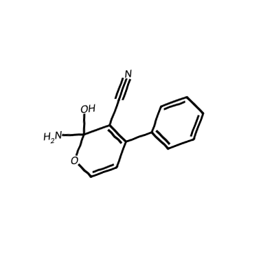 N#CC1=C(c2ccccc2)C=COC1(N)O